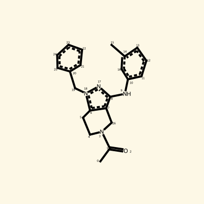 CC(=O)N1CCc2c(c(Nc3cccc(C)c3)nn2Cc2ccccc2)C1